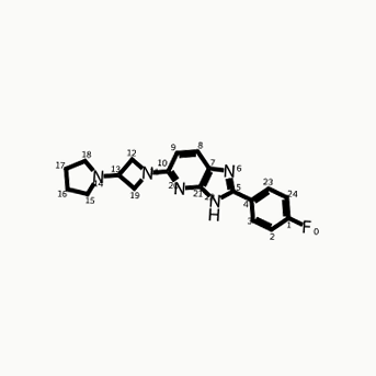 Fc1ccc(-c2nc3ccc(N4CC(N5CCCC5)C4)nc3[nH]2)cc1